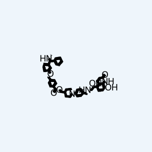 CNC(c1ccccc1)c1cccc(OCc2ccc(C(=O)OCC3CCN(c4ccc(CNCC(O)c5ccc(O)c6[nH]c(=O)ccc56)cc4)CC3)cc2)c1